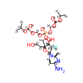 C=C1N=C(N)C=CN1[C@@H]1O[C@](CCO)(COP(=O)(OCOC(=O)OC(C)C)OCOC(=O)OC(C)C)[C@@H](O)[C@H]1F